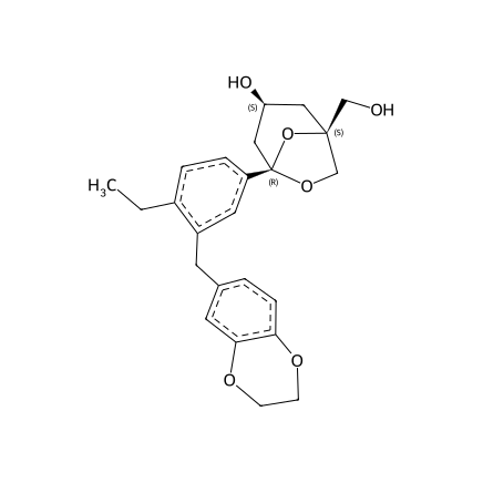 CCc1ccc([C@]23C[C@@H](O)C[C@](CO)(CO2)O3)cc1Cc1ccc2c(c1)OCCO2